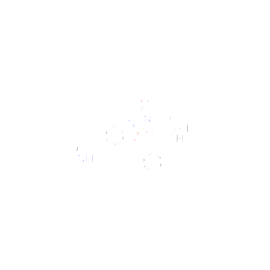 C[Si](C)(C)CCN1C(=O)CN(c2ccc(CC3CCCC[C@H]3N)cc2OCc2ccccc2)S1(=O)=O